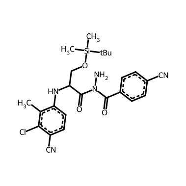 Cc1c(NC(CO[Si](C)(C)C(C)(C)C)C(=O)N(N)C(=O)c2ccc(C#N)cc2)ccc(C#N)c1Cl